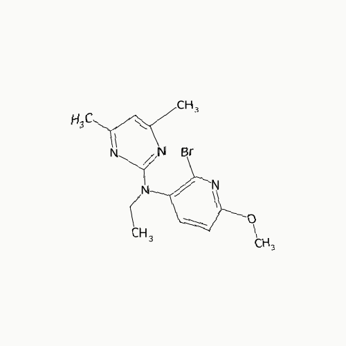 CCN(c1nc(C)cc(C)n1)c1ccc(OC)nc1Br